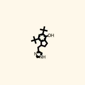 CC(C)(C)c1cc(C(C)(C)C)c2c(c1O)CCC2Cc1c[nH]cn1